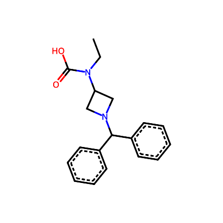 CCN(C(=O)O)C1CN(C(c2ccccc2)c2ccccc2)C1